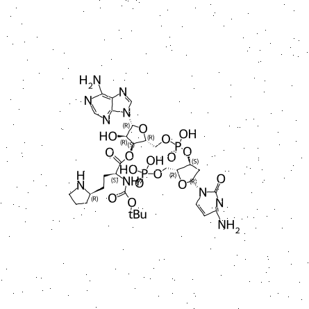 CC(C)(C)OC(=O)N[C@@H](CC[C@H]1CCCN1)C(=O)O[C@H]1[C@@H](O)[C@H](n2cnc3c(N)ncnc32)O[C@@H]1COP(=O)(O)O[C@H]1C[C@H](n2ccc(N)nc2=O)O[C@@H]1COP(=O)(O)O